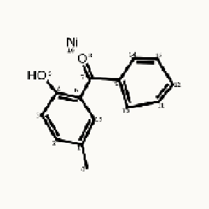 Cc1ccc(O)c(C(=O)c2ccccc2)c1.[Ni]